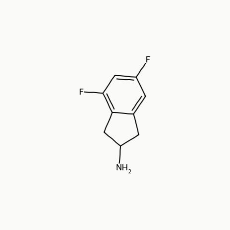 NC1Cc2cc(F)cc(F)c2C1